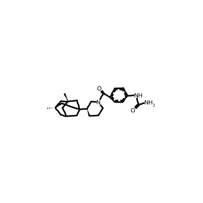 C[C@]12CC3CC([C@@H]4CCCN(C(=O)c5ccc(NC(N)=O)cc5)C4)(C1)C[C@@](C)(C3)C2